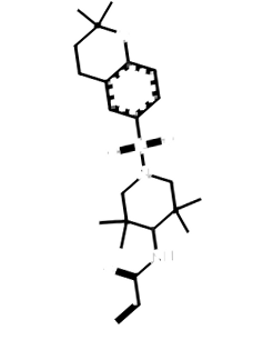 C=CC(=O)NC1C(C)(C)CN(S(=O)(=O)c2ccc3c(c2)CCC(C)(C)O3)CC1(C)C